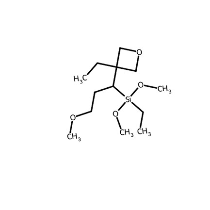 CCC1(C(CCOC)[Si](CC)(OC)OC)COC1